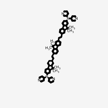 CC1(C)C2=CC(/C=C/c3ccc4c(c3)C(C)(C)c3cc(/C=C/c5ccc6c(c5)C(C)(C)c5cc(N(c7ccncc7)c7cccnc7)ccc5-6)ccc3-4)CC=C2c2ccc(N(c3ccncc3)c3cccnc3)cc21